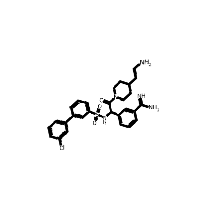 N=C(N)c1cccc(C(NS(=O)(=O)c2cccc(-c3cccc(Cl)c3)c2)C(=O)N2CCC(CCN)CC2)c1